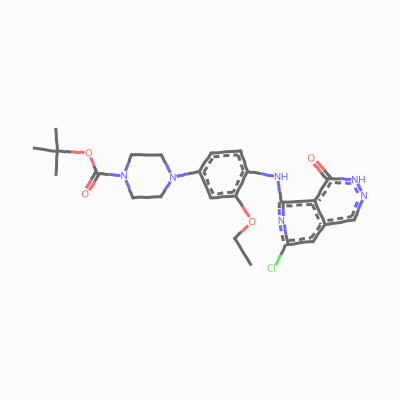 CCOc1cc(N2CCN(C(=O)OC(C)(C)C)CC2)ccc1Nc1nc(Cl)cc2cn[nH]c(=O)c12